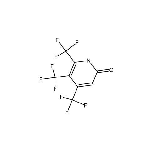 O=C1[C]=C(C(F)(F)F)C(C(F)(F)F)=C(C(F)(F)F)[N]1